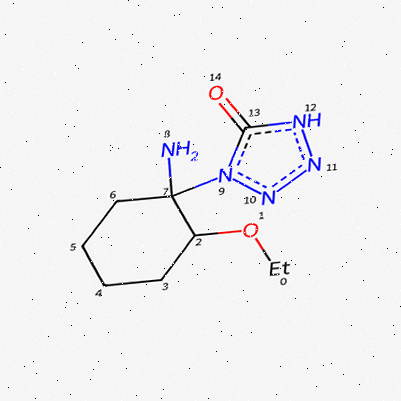 CCOC1CCCCC1(N)n1nn[nH]c1=O